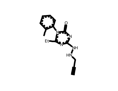 C#CCNNc1nc(CC)n(-c2ccccc2C)c(=O)n1